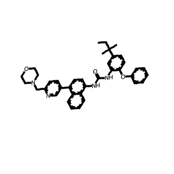 CCC(C)(C)c1ccc(Oc2ccccc2)c(NC(=O)Nc2ccc(-c3ccc(CN4CCOCC4)nc3)c3ccccc23)c1